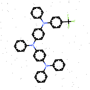 FC(F)(F)c1ccc(N(c2ccccc2)c2ccc(N(c3ccccc3)c3ccc(N(c4ccccc4)c4ccccc4)cc3)cc2)cc1